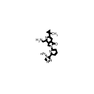 CCCn1cnnc1-c1cccc(N2Cc3c(cc(C4(C)CC4)nc3CN)C2=O)n1